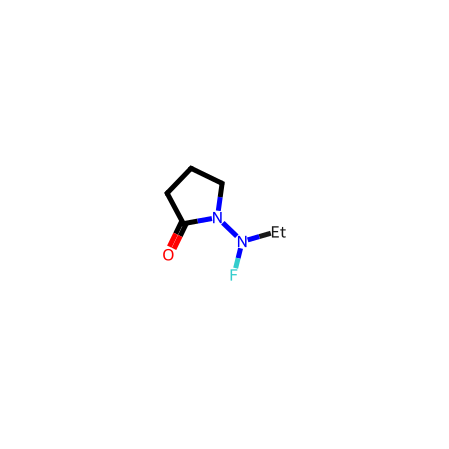 CCN(F)N1CCCC1=O